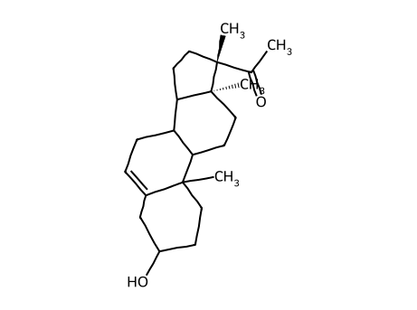 CC(=O)[C@@]1(C)CCC2C3CC=C4CC(O)CCC4(C)C3CC[C@@]21C